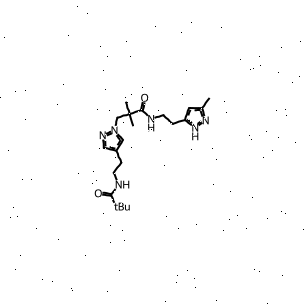 Cc1cc(CCNC(=O)C(C)(C)Cn2cc(CCNC(=O)C(C)(C)C)cn2)[nH]n1